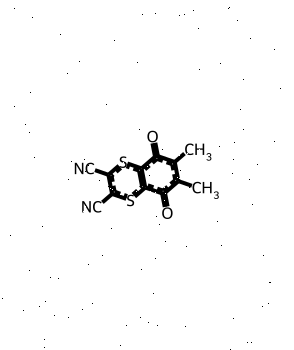 Cc1c(C)c(=O)c2sc(C#N)c(C#N)sc=2c1=O